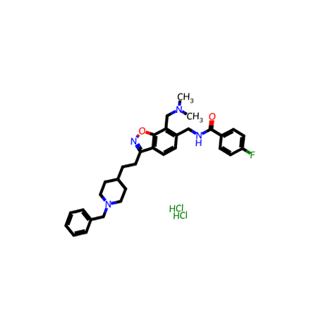 CN(C)Cc1c(CNC(=O)c2ccc(F)cc2)ccc2c(CCC3CCN(Cc4ccccc4)CC3)noc12.Cl.Cl